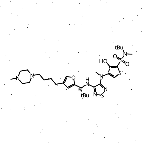 CN1CCN(CCCCc2coc([C@H](Nc3nsnc3N(C)c3csc(S(=O)(=O)N(C)C(C)(C)C)c3O)C(C)(C)C)c2)CC1